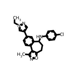 CCn1cc(-c2ccc3c(c2)C(Nc2ccc(Cl)cc2)CCc2onc(C)c2-3)cn1